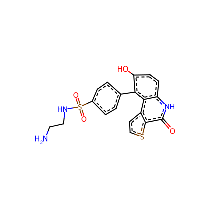 NCCNS(=O)(=O)c1ccc(-c2c(O)ccc3[nH]c(=O)c4sccc4c23)cc1